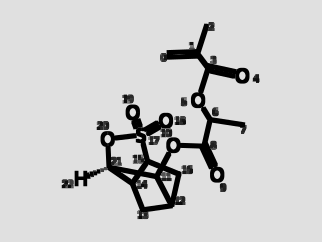 C=C(C)C(=O)OC(C)C(=O)OC1C2CC3C(C2)S(=O)(=O)O[C@H]31